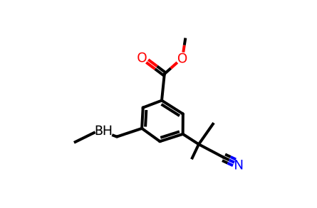 CBCc1cc(C(=O)OC)cc(C(C)(C)C#N)c1